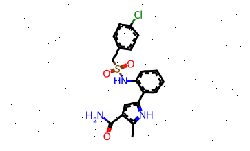 Cc1[nH]c(-c2ccccc2NS(=O)(=O)Cc2ccc(Cl)cc2)cc1C(N)=O